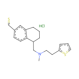 CN(CCc1cccs1)CC1CCCc2cc(C=S)ccc21.Cl